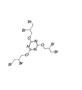 BrCC(Br)COc1nc(OCC(Br)CBr)nc(OCC(Br)CBr)n1